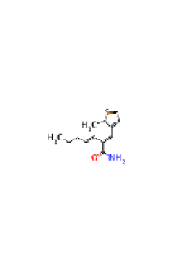 CCC/C=C/C(=C\c1ccsc1C)C(N)=O